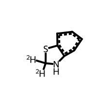 [2H]C1([2H])Nc2ccccc2S1